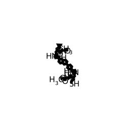 COC(=O)NCC(=O)N(CCS)Cc1ncc(-c2ccc(-c3ccc4cc(-c5c[nH]c(CN(CC6(C)CC6)C(=O)CNC=O)n5)ccc4c3)cc2)[nH]1